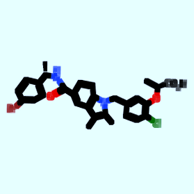 Cc1c(C)n(Cc2ccc(Cl)c(O[C@@H](C)C(=O)O)c2)c2ccc(C(=O)N[C@@H](C)c3ccc(Br)cc3)cc12